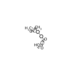 CCCN(C)c1ccc(-c2ccc(C(=O)N3CCN(C(=O)C4(O)CC4)CC3)cc2)cc1CN=O